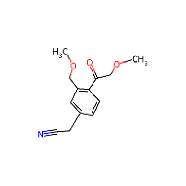 COCC(=O)c1ccc(CC#N)cc1COC